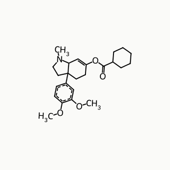 COc1ccc(C23CCC(OC(=O)C4CCCCC4)=CC2N(C)CC3)cc1OC